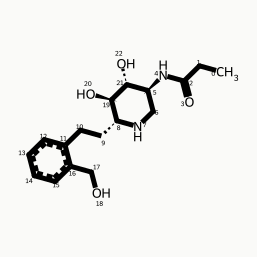 CCC(=O)N[C@H]1CN[C@H](CCc2ccccc2CO)[C@@H](O)[C@@H]1O